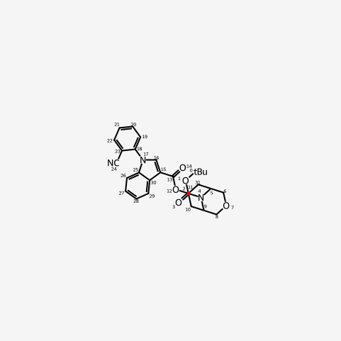 CC(C)(C)OC(=O)N1C2COCC1CC(OC(=O)c1cn(-c3ccccc3C#N)c3ccccc13)C2